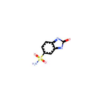 NS(=O)(=O)c1ccc2c(c1)=NC(=O)N=2